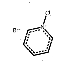 Cl[n+]1ccccc1.[Br-]